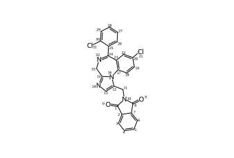 O=C1c2ccccc2C(=O)N1Cc1cnc2n1-c1ccc(Cl)cc1C(c1ccccc1Cl)=NC2